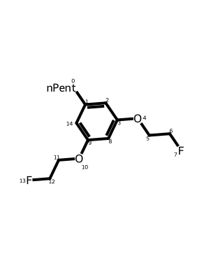 CCCCCc1cc(OCCF)cc(OCCF)c1